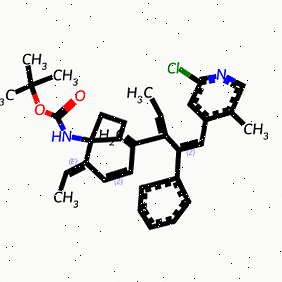 C=C(/C=C\C(=C/C)C1(NC(=O)OC(C)(C)C)CCC1)C(=CC)/C(=C\c1cc(Cl)ncc1C)c1ccccc1